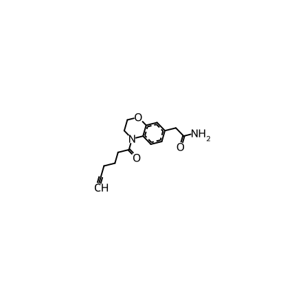 C#CCCCC(=O)N1CCOc2cc(CC(N)=O)ccc21